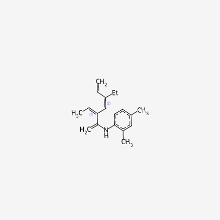 C=C/C(=C\C(=C\C)C(=C)Nc1ccc(C)cc1C)CC